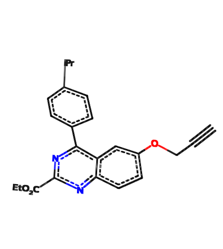 C#CCOc1ccc2nc(C(=O)OCC)nc(-c3ccc(C(C)C)cc3)c2c1